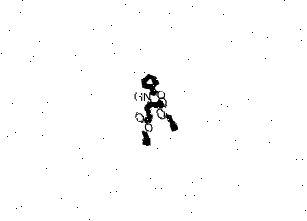 C#CCOC(=O)CCC(NC(=O)c1ccccc1)C(=O)OCC#C